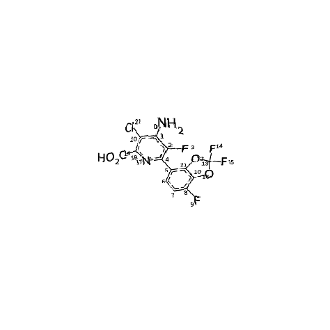 Nc1c(F)c(-c2ccc(F)c3c2OC(F)(F)O3)nc(C(=O)O)c1Cl